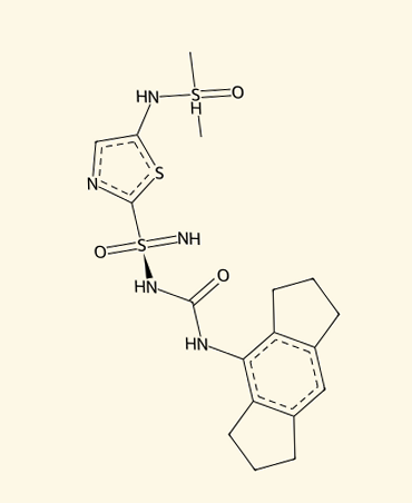 C[SH](C)(=O)Nc1cnc([S@](=N)(=O)NC(=O)Nc2c3c(cc4c2CCC4)CCC3)s1